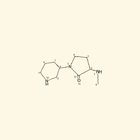 CNC1CCN(C2CCCNC2)C1=O